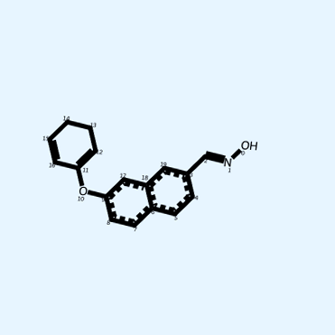 ON=Cc1ccc2ccc(OC3=CCCC=C3)cc2c1